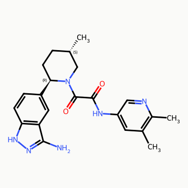 Cc1cc(NC(=O)C(=O)N2C[C@@H](C)CC[C@@H]2c2ccc3[nH]nc(N)c3c2)cnc1C